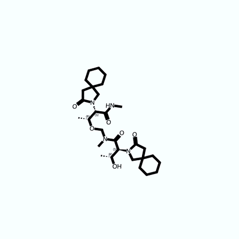 CNC(=O)[C@H]([C@@H](C)OCN(C)C(=O)[C@H]([C@@H](C)O)N1CC2(CCCCC2)CC1=O)N1CC2(CCCCC2)CC1=O